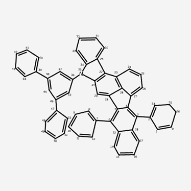 C1=CC(c2c3c(c(-c4ccccc4)c4ccccc24)-c2cc4c(c5cccc-3c25)c2ccccc2n4-c2cc(-c3ccccc3)cc(-c3ccccc3)c2)=CCC1